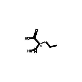 CCC[C@H](NO)C(=O)O